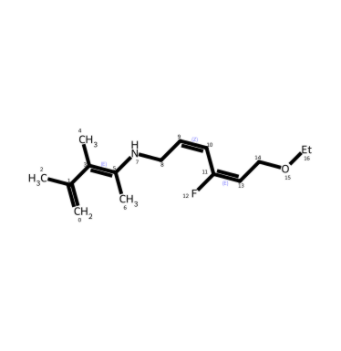 C=C(C)/C(C)=C(\C)NC/C=C\C(F)=C/COCC